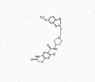 COc1ccc2ncc(SCCN3CCC(NC(=O)c4cc5c(cc4Cl)SCC(=O)N5)CC3)nc2c1